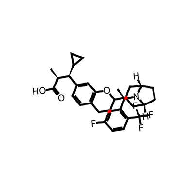 C[C@H](C(=O)O)[C@H](c1ccc2c(c1)OC(C1C[C@H]3CC[C@@H](C1)N3[C@H](C)c1cc(F)ccc1C(F)(F)F)CC2)C1CC1